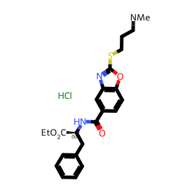 CCOC(=O)[C@H](Cc1ccccc1)NC(=O)c1ccc2oc(SCCCNC)nc2c1.Cl